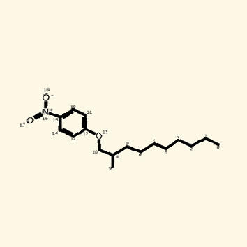 CCCCCCCCC(C)COc1ccc([N+](=O)[O-])cc1